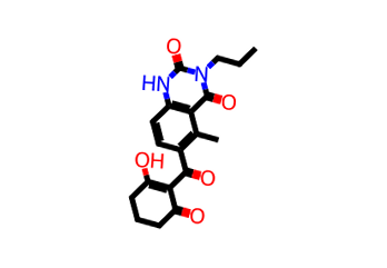 CCCn1c(=O)[nH]c2ccc(C(=O)C3=C(O)CCCC3=O)c(C)c2c1=O